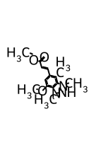 CCOC(=O)/C=C/c1cc(OC)c2c(c1C)N(C)NN2C